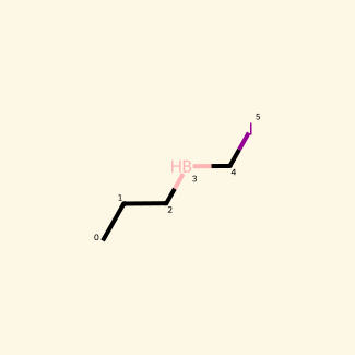 CCCBCI